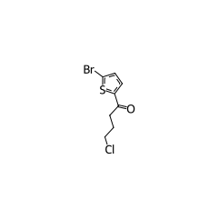 O=C(CCCCl)c1ccc(Br)s1